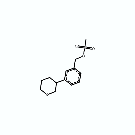 CS(=O)(=O)OCc1cccc(C2CCCSC2)c1